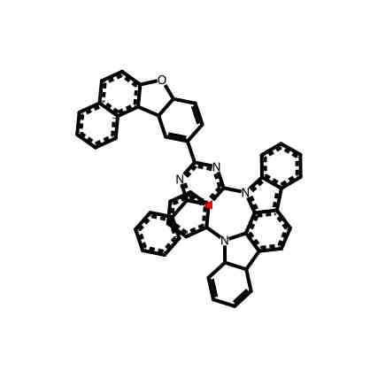 C1=CC2c3ccc4c5ccccc5n(-c5nc(C6=CC7c8c(ccc9ccccc89)OC7C=C6)nc(-c6ccccc6)n5)c4c3N(c3ccccc3)C2C=C1